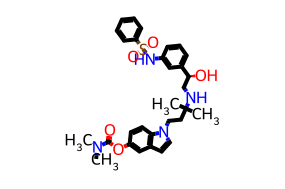 CN(C)C(=O)Oc1ccc2c(ccn2CCC(C)(C)NC[C@H](O)c2cccc(NS(=O)(=O)c3ccccc3)c2)c1